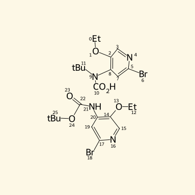 CCOc1cnc(Br)cc1N(C(=O)O)C(C)(C)C.CCOc1cnc(Br)cc1NC(=O)OC(C)(C)C